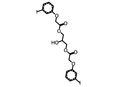 O=C(COc1cccc(I)c1)OCC(O)COC(=O)COc1cccc(I)c1